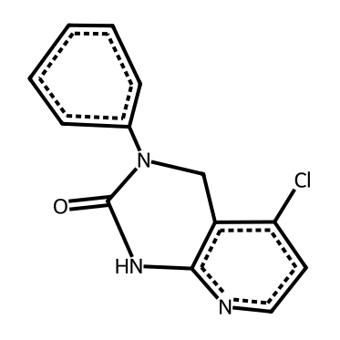 O=C1Nc2nccc(Cl)c2CN1c1ccccc1